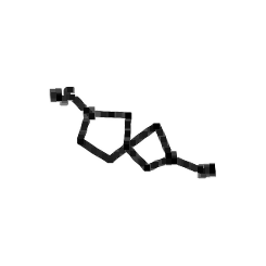 CN1CCC2(C1)CN(S)C2